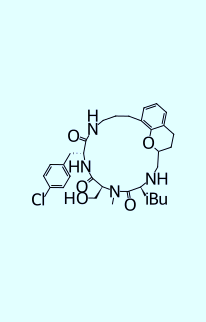 CCC(C)[C@@H]1NCC2CCc3cccc(c3O2)CCCNC(=O)[C@@H](Cc2ccc(Cl)cc2)NC(=O)[C@H](CO)N(C)C1=O